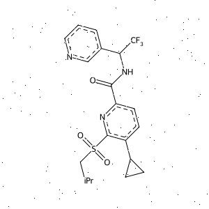 CC(C)CS(=O)(=O)c1nc(C(=O)NC(c2cccnc2)C(F)(F)F)ccc1C1CC1